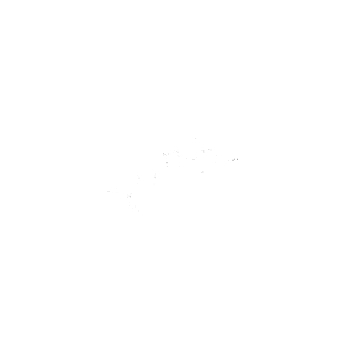 COc1ccc(-c2cc(-c3ccc(N(C)C)cc3)n[nH]2)c(F)c1